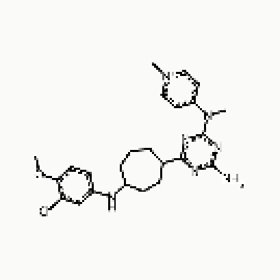 COc1ccc(NC2CCCC(c3nc(N)nc(N(C)c4cc[n+](C)cc4)n3)CC2)cc1Cl